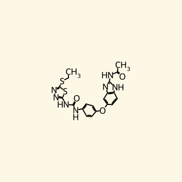 CCSc1nnc(NC(=O)Nc2ccc(Oc3ccc4[nH]c(NC(C)=O)nc4c3)cc2)s1